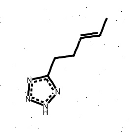 C/C=C/CCc1nn[nH]n1